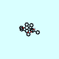 c1ccc(-c2cc(-c3ccccc3)nc(-c3ccccc3C3(c4ccccc4)c4ccccc4C4(c5ccccc5)c5ccccc5-c5cccc3c54)c2)cc1